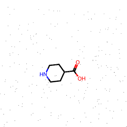 O=C(O)[C]1CCNCC1